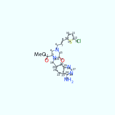 COC(=O)C1CN(CC=Cc2ccc(Cl)s2)CC(=O)N1Cc1ccc2c(N)ncnc2c1